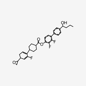 CCCC(O)c1ccc(-c2ccc(OC(=O)C3CCC(C4=CCC(C5CO5)C=C4F)CC3)c(F)c2F)cc1